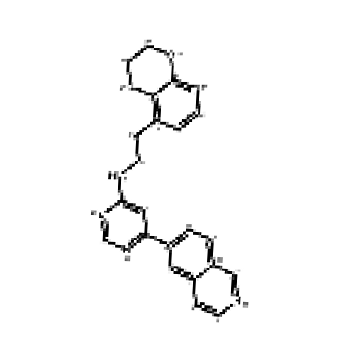 c1cc2cc(-c3cc(NCCc4ccnc5c4OCCO5)ncn3)ccc2cn1